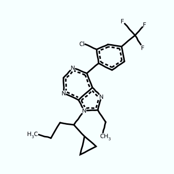 CCCC(C1CC1)n1c(CC)nc2c(-c3ccc(C(F)(F)F)cc3Cl)ncnc21